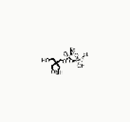 CCOP(=O)(O)OP(=O)(OCC)OCC(CO)(CO)CO